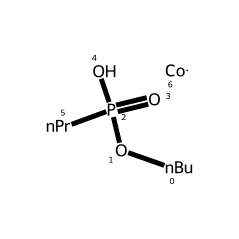 CCCCOP(=O)(O)CCC.[Co]